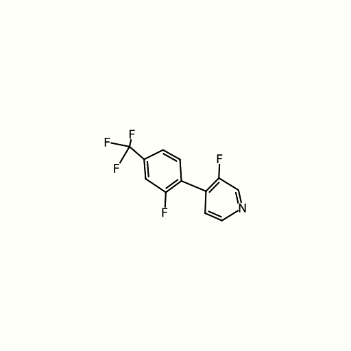 Fc1cnccc1-c1ccc(C(F)(F)F)cc1F